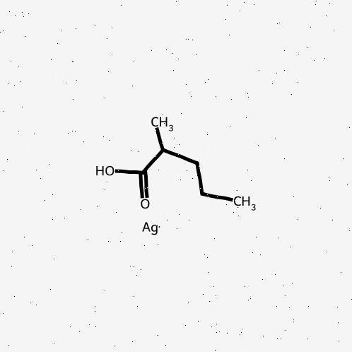 CCCC(C)C(=O)O.[Ag]